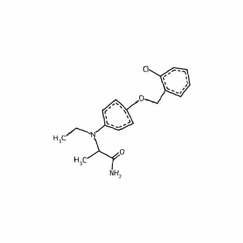 CCN(c1ccc(OCc2ccccc2Cl)cc1)C(C)C(N)=O